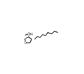 C1CCOC1.CCCCCCCCC.CO